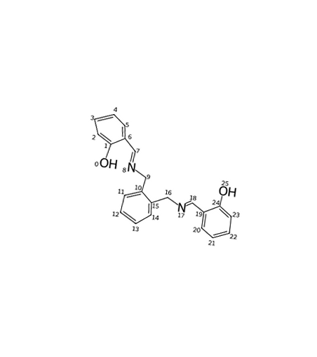 Oc1ccccc1C=NCc1ccccc1CN=Cc1ccccc1O